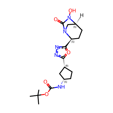 CC(C)(C)OC(=O)N[C@H]1CC[C@@H](c2nnc([C@@H]3CC[C@H]4CN3C(=O)N4O)o2)C1